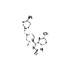 CC(C)c1ccc(CN2C[C@H](C)N(c3nc(=O)n(C)c4ccc(C#N)nc34)C[C@H]2C)cc1